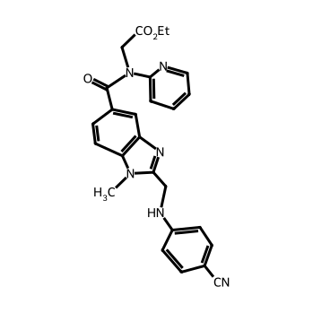 CCOC(=O)CN(C(=O)c1ccc2c(c1)nc(CNc1ccc(C#N)cc1)n2C)c1ccccn1